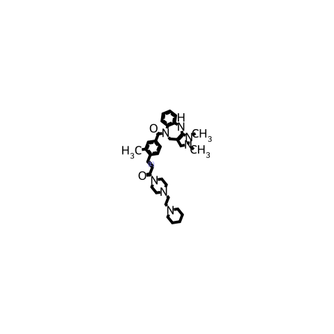 Cc1cc(C(=O)N2CC3=C(Nc4ccccc42)N(C)N(C)C3)ccc1/C=C/C(=O)N1CCN(CCN2CCCCC2)CC1